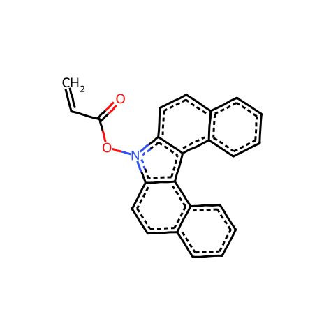 C=CC(=O)On1c2ccc3ccccc3c2c2c3ccccc3ccc21